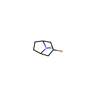 CCN1C2CCC1CC(Br)C2